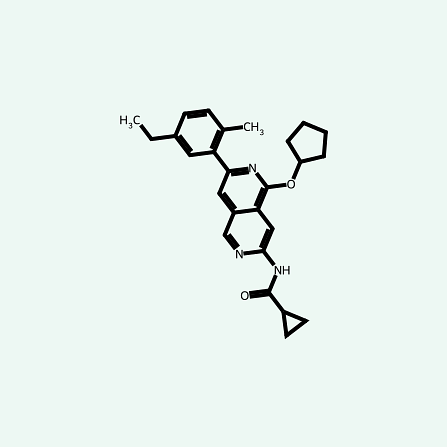 CCc1ccc(C)c(-c2cc3cnc(NC(=O)C4CC4)cc3c(OC3CCCC3)n2)c1